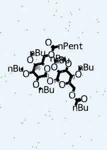 CCCCCC(=O)OCC1O[C@H](O[C@H]2OC(COC(=O)CCCC)[C@@H](OCCCC)C(OCCCC)C2OCCCC)C(OCCCC)C(OCCCC)[C@@H]1OCCCC